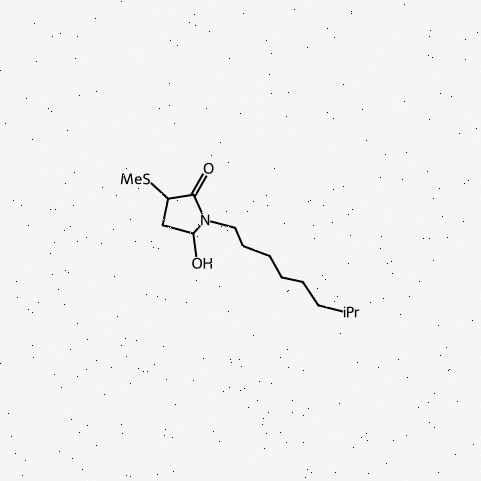 CSC1CC(O)N(CCCCCCC(C)C)C1=O